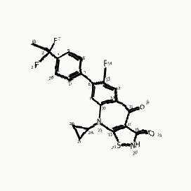 CC(F)(F)c1ccc(-c2cc3c(cc2F)c(=O)c2c(=O)[nH]sc2n3C2CC2)cc1